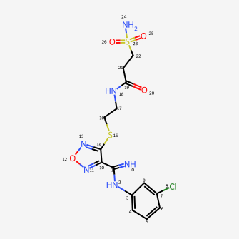 N=C(Nc1cccc(Cl)c1)c1nonc1SCCNC(=O)CCS(N)(=O)=O